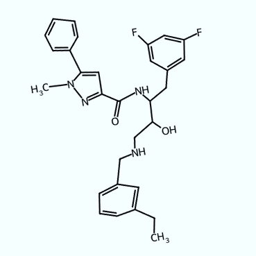 CCc1cccc(CNCC(O)C(Cc2cc(F)cc(F)c2)NC(=O)c2cc(-c3ccccc3)n(C)n2)c1